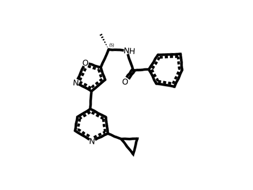 C[C@H](NC(=O)c1ccccc1)c1cc(-c2ccnc(C3CC3)c2)no1